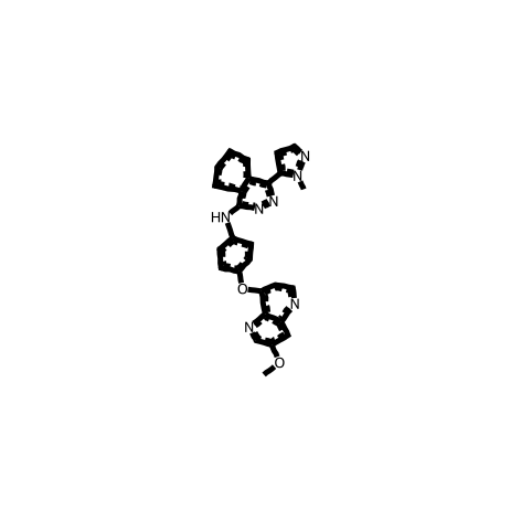 COc1cnc2c(Oc3ccc(Nc4nnc(-c5ccnn5C)c5ccccc45)cc3)ccnc2c1